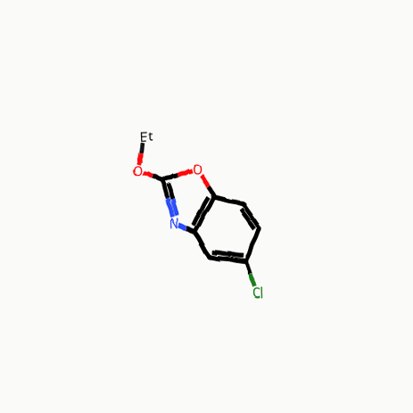 CCOc1nc2cc(Cl)ccc2o1